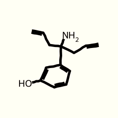 C=CCC(N)(CC=C)c1cccc(O)c1